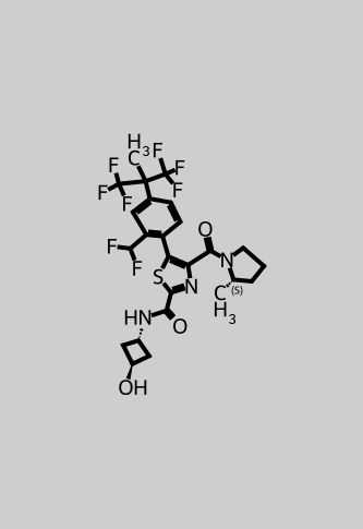 C[C@H]1CCCN1C(=O)c1nc(C(=O)N[C@H]2C[C@H](O)C2)sc1-c1ccc(C(C)(C(F)(F)F)C(F)(F)F)cc1C(F)F